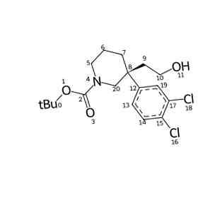 CC(C)(C)OC(=O)N1CCC[C@](CCO)(c2ccc(Cl)c(Cl)c2)C1